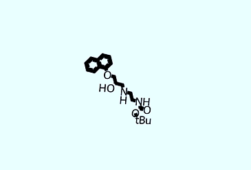 CC(C)(C)OC(=O)NCCNCC(O)COc1cccc2ccccc12